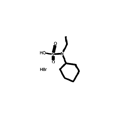 Br.CCN(C1CCCCC1)S(=O)(=O)O